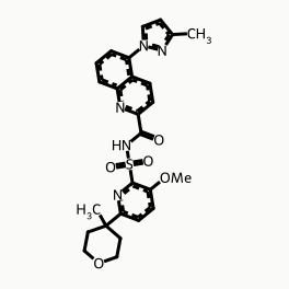 COc1ccc(C2(C)CCOCC2)nc1S(=O)(=O)NC(=O)c1ccc2c(-n3ccc(C)n3)cccc2n1